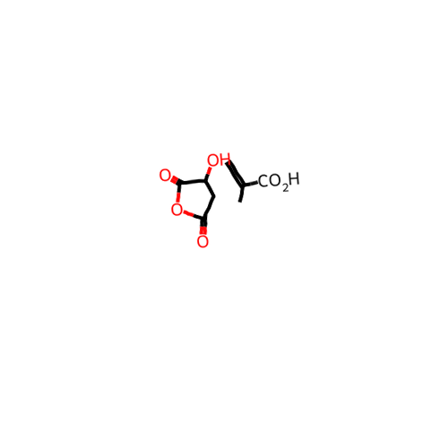 C=C(C)C(=O)O.O=C1CC(O)C(=O)O1